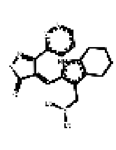 CCN(CC)Cc1c(/C=C2/C(=O)NN=C2c2cccnn2)[nH]c2c1CCCC2